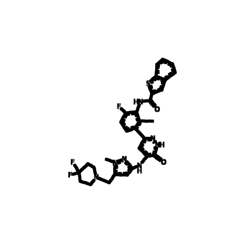 Cc1c(-c2cc(Nc3cc(CN4CCC(F)(F)CC4)n(C)n3)c(=O)[nH]n2)ccc(F)c1NC(=O)c1cc2ccccc2s1